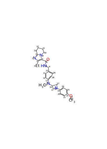 CCc1nc2n(c1C(=O)NCc1ccc(N(C)C3CN(c4ccc(OC(F)(F)F)cc4)C3)cc1)CCCC2